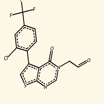 O=CCn1cnc2scc(-c3ccc(C(F)(F)F)cc3Cl)c2c1=O